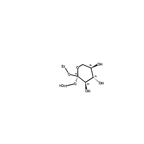 CCCCCCCCO[C@]1(OCC)OC[C@@H](O)[C@H](O)[C@H]1O